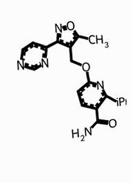 Cc1onc(-c2ccncn2)c1COc1ccc(C(N)=O)c(C(C)C)n1